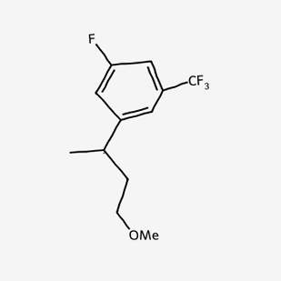 COCC[C](C)c1cc(F)cc(C(F)(F)F)c1